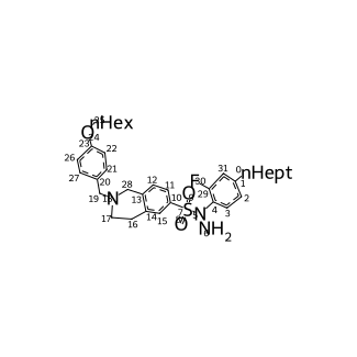 CCCCCCCc1ccc(N(N)S(=O)(=O)c2ccc3c(c2)CCN(Cc2ccc(OCCCCCC)cc2)C3)c(F)c1